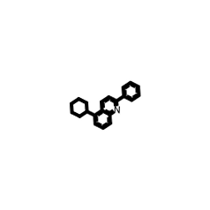 c1ccc(-c2ccc3c(C4CCCCC4)cccc3n2)cc1